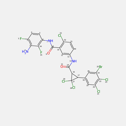 Nc1c(F)ccc(NC(=O)c2cc(NC(=O)C3C(c4cc(Cl)c(Cl)c(Br)c4)C3(Cl)Cl)ccc2Cl)c1F